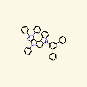 c1ccc(-c2cc(-c3ccccc3)cc(-n3c4ccccc4c4c5c6c(nc(-c7ccccc7)n6-c6ccccc6)n(-c6ccccc6)c5ccc43)c2)cc1